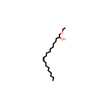 CCCCCCCC/C=C\CCCCCCCCC(O)COCC